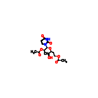 CC(=O)OCC[C@@H](CO)O[C@H]([C@@H](C)OC(C)=O)n1ccc(=O)[nH]c1=O